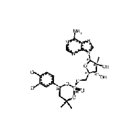 CC1(C)C[C@@H](c2ccc(Cl)c(Cl)c2)O[P@@](=O)(OC[C@H]2O[C@@H](n3cnc4c(N)ncnc43)[C@](C)(O)[C@@H]2O)O1